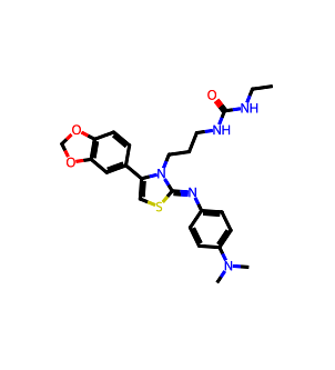 CCNC(=O)NCCCn1c(-c2ccc3c(c2)OCO3)cs/c1=N\c1ccc(N(C)C)cc1